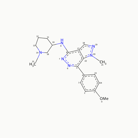 COc1ccc(-c2nnc(NC3CCCN(C)C3)c3cnn(C)c23)cc1